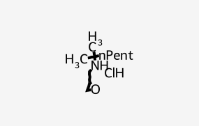 CCCCCC(C)(C)NCC1CO1.Cl